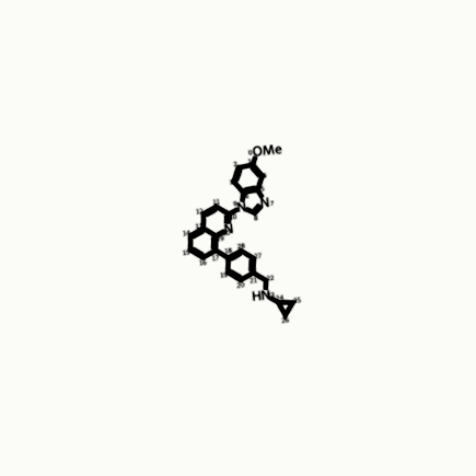 COc1ccc2c(c1)ncn2-c1ccc2cccc(-c3ccc(CNC4CC4)cc3)c2n1